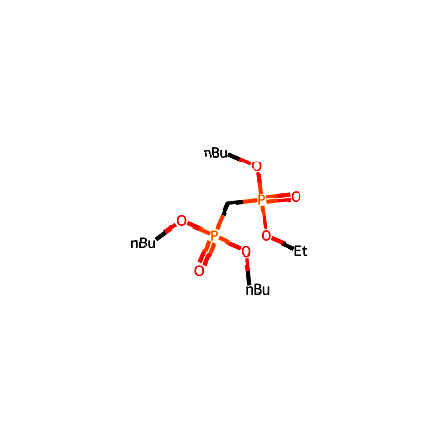 CCCCOP(=O)(CP(=O)(OCCCC)OCCCC)OCC